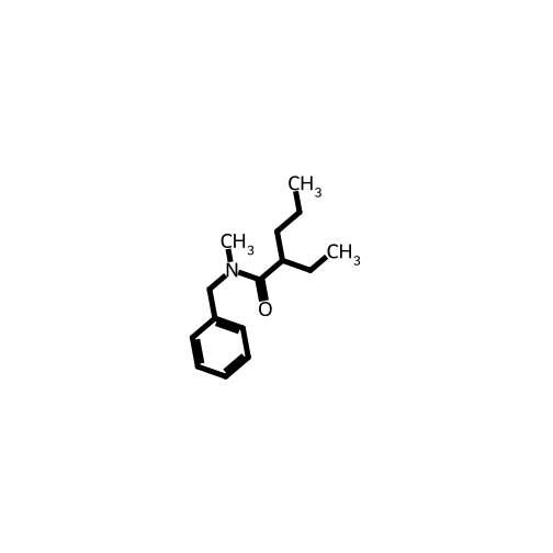 CCCC(CC)C(=O)N(C)Cc1ccccc1